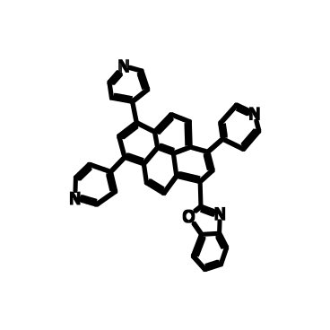 c1ccc2oc(-c3cc(-c4ccncc4)c4ccc5c(-c6ccncc6)cc(-c6ccncc6)c6ccc3c4c56)nc2c1